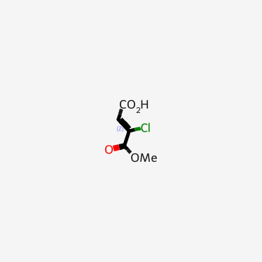 COC(=O)/C(Cl)=C/C(=O)O